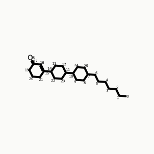 CCCCCCCC1CCC(C2CCC(C3=CC(=O)CCC3)CC2)CC1